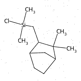 CC1(C)C2CCC(C2)C1C[Si](C)(C)Cl